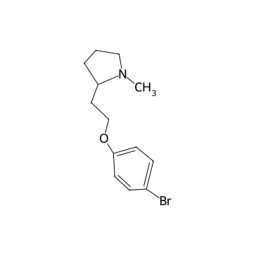 CN1CCCC1CCOc1ccc(Br)cc1